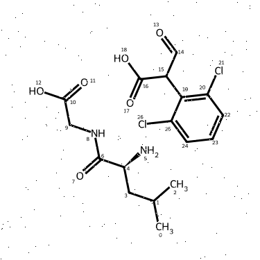 CC(C)C[C@H](N)C(=O)NCC(=O)O.O=CC(C(=O)O)c1c(Cl)cccc1Cl